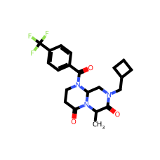 CC1C(=O)N(CC2CCC2)CC2N(C(=O)c3ccc(C(F)(F)F)cc3)CCC(=O)N12